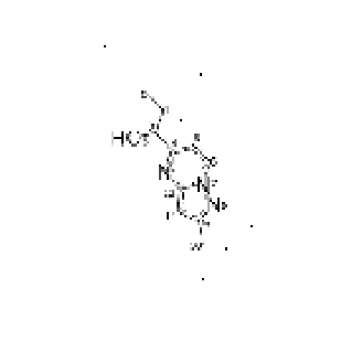 CCC(O)c1ccn2nc(C)cc2n1